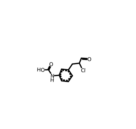 O=CC(Cl)Cc1cccc(NC(=O)O)c1